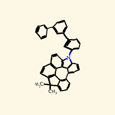 CC1(C)c2cccc3c2-c2c1ccc1ccc4c(c21)c1c-3cccc1n4-c1cccc(-c2cccc(-c3ccccc3)c2)c1